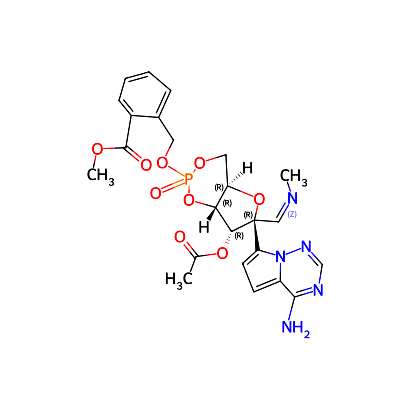 C/N=C\[C@@]1(c2ccc3c(N)ncnn23)O[C@@H]2COP(=O)(OCc3ccccc3C(=O)OC)O[C@H]2[C@H]1OC(C)=O